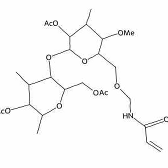 C=CC(=O)NCOCC1OC(OC2C(COC(C)=O)OC(C)C(OC(C)=O)C2C)C(OC(C)=O)C(C)C1OC